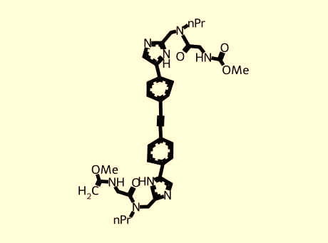 C=C(NCC(=O)N(CCC)Cc1ncc(-c2ccc(C#Cc3ccc(-c4cnc(CN(CCC)C(=O)CNC(=O)OC)[nH]4)cc3)cc2)[nH]1)OC